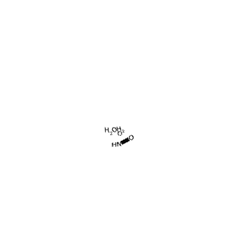 N=O.O.O